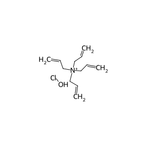 C=CC[N+](CC=C)(CC=C)CC=C.OCl